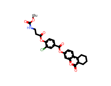 CC(C)(C)OC(=O)NCCC(=O)Oc1ccc(C(=O)Oc2ccc3c4c(c(=O)oc3c2)CCCC4)cc1Cl